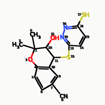 CC1(C)Oc2ccc(C#N)cc2C(Sc2ccc(S)nn2)C1O